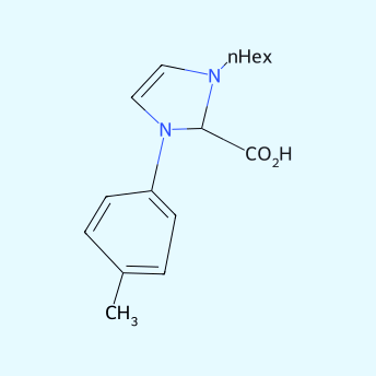 CCCCCCN1C=CN(c2ccc(C)cc2)C1C(=O)O